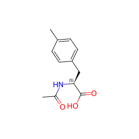 CC(=O)N[C@@H](Cc1ccc(C)cc1)C(=O)O